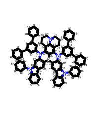 c1ccc(-c2cc(-c3ccccc3)cc(N3c4cc5c(cc4B4c6cc7c8ccccc8n(-c8ccccc8)c7cc6N(c6cc(-c7ccccc7)cc(-c7ccccc7)c6)c6c7c8c(c3c64)CCCN8CCC7)c3ccccc3n5-c3ccccc3)c2)cc1